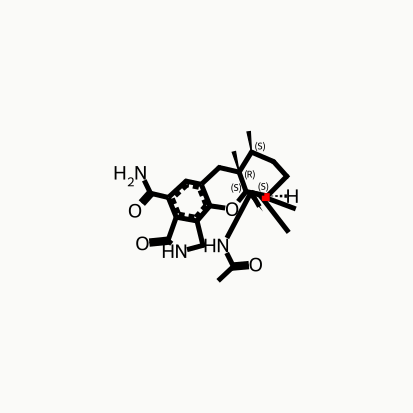 CC(=O)NC1CC(C)(C)[C@@H]2CC[C@H](C)[C@@]3(C)Cc4cc(C(N)=O)c5c(c4O[C@@]23C1)CNC5=O